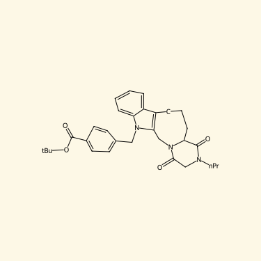 CCCN1CC(=O)N2Cc3c(c4ccccc4n3Cc3ccc(C(=O)OC(C)(C)C)cc3)CCCC2C1=O